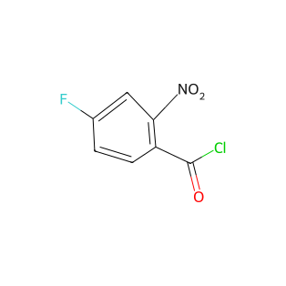 O=C(Cl)c1ccc(F)cc1[N+](=O)[O-]